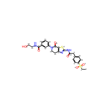 CCS(=O)(=O)c1ccc(CC(=O)Nc2nc3c(s2)C(=O)N(c2cccc(C(=O)NCCO)c2)CC3)cc1